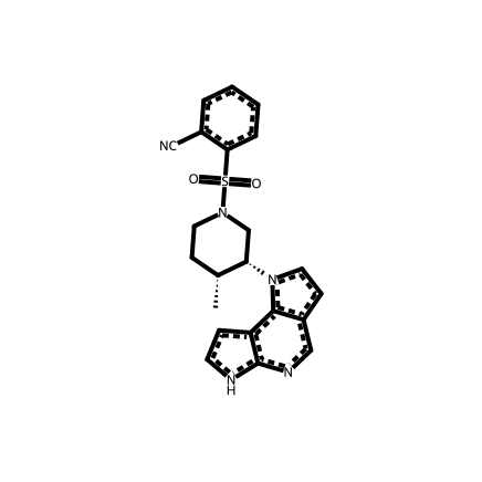 C[C@@H]1CCN(S(=O)(=O)c2ccccc2C#N)C[C@@H]1n1ccc2cnc3[nH]ccc3c21